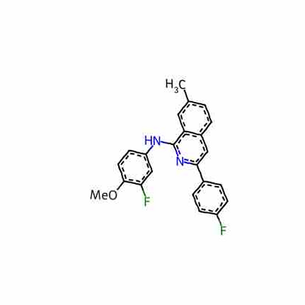 COc1ccc(Nc2nc(-c3ccc(F)cc3)cc3ccc(C)cc23)cc1F